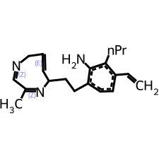 C=Cc1ccc(CCC2/C=C/C/N=C\C(C)=N/2)c(N)c1CCC